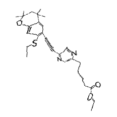 CCOC(=O)CCCCc1cnc(C#Cc2cc3c(cc2SCC)OC(C)(C)CC3(C)C)cn1